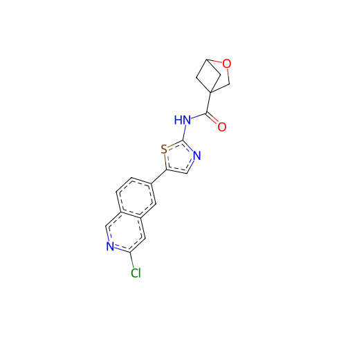 O=C(Nc1ncc(-c2ccc3cnc(Cl)cc3c2)s1)C12COC(C1)C2